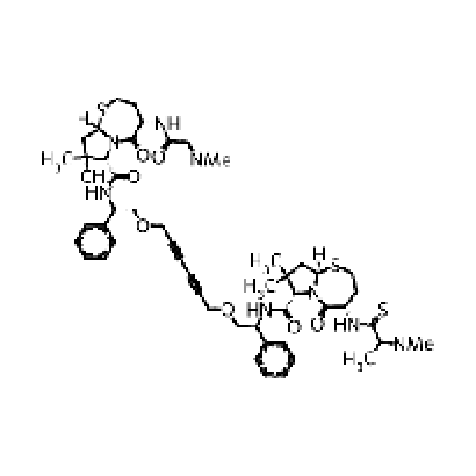 CNCC(=O)N[C@H]1CCS[C@H]2CC(C)(C)[C@@H](C(=O)N[C@H](COCC#CC#CCOC[C@@H](NC(=O)[C@H]3N4C(=O)[C@@H](NC(=S)[C@H](C)NC)CCS[C@H]4CC3(C)C)c3ccccc3)c3ccccc3)N2C1=O